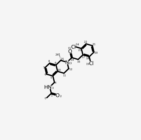 CC(=O)NCc1cccc2c1CCN(C(=O)Cc1c(Cl)cccc1Cl)[C@H]2C